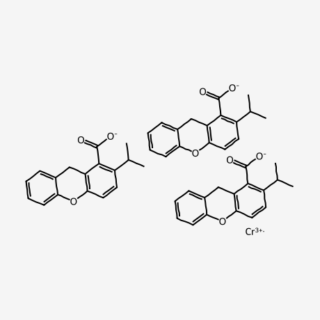 CC(C)c1ccc2c(c1C(=O)[O-])Cc1ccccc1O2.CC(C)c1ccc2c(c1C(=O)[O-])Cc1ccccc1O2.CC(C)c1ccc2c(c1C(=O)[O-])Cc1ccccc1O2.[Cr+3]